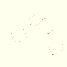 Cn1nnc(-c2ccc([N+](=O)[O-])cc2)c1OC(=O)c1ccccc1